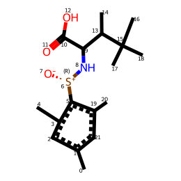 Cc1cc(C)c([S@+]([O-])NC(C(=O)O)C(C)C(C)(C)C)c(C)c1